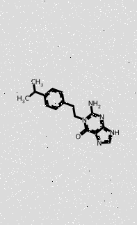 CC(C)c1ccc(CCn2c(N)nc3[nH]cnc3c2=O)cc1